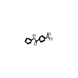 CCN(CC)c1ccc(C(=O)Nc2ccccc2)cc1